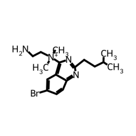 CC(C)CCc1nc([N+](C)(C)CCN)c2cc(Br)ccc2n1